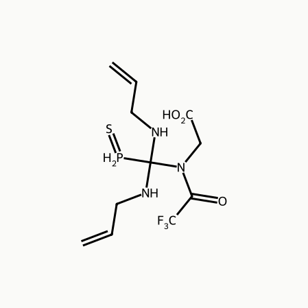 C=CCNC(NCC=C)([PH2]=S)N(CC(=O)O)C(=O)C(F)(F)F